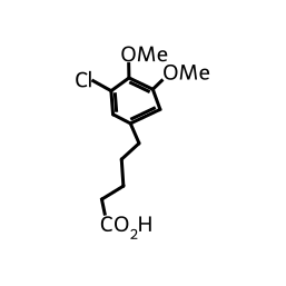 COc1cc(CCCCC(=O)O)cc(Cl)c1OC